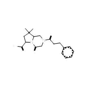 CC1(C)CC(C(=O)O)N2C(=O)CN(C(=O)CCc3ccccc3)CC21